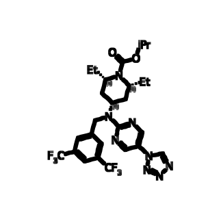 CC[C@@H]1C[C@H](N(Cc2cc(C(F)(F)F)cc(C(F)(F)F)c2)c2ncc(-n3cnnn3)cn2)C[C@H](CC)N1C(=O)OC(C)C